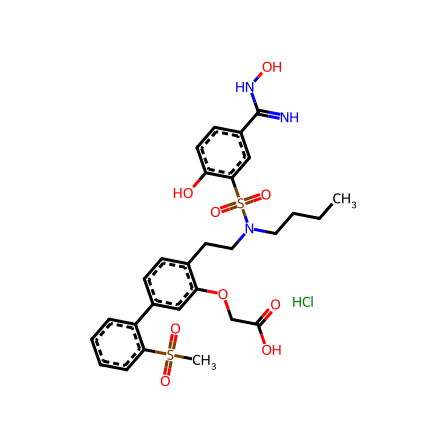 CCCCN(CCc1ccc(-c2ccccc2S(C)(=O)=O)cc1OCC(=O)O)S(=O)(=O)c1cc(C(=N)NO)ccc1O.Cl